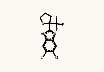 FC(F)(F)C1(c2nc3cc(Cl)c(Cl)cc3[nH]2)CCCO1